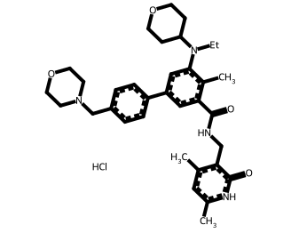 CCN(c1cc(-c2ccc(CN3CCOCC3)cc2)cc(C(=O)NCc2c(C)cc(C)[nH]c2=O)c1C)C1CCOCC1.Cl